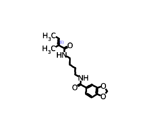 C/C=C(\C)C(=O)NCCCCNC(=O)c1ccc2c(c1)OCO2